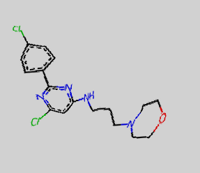 Clc1ccc(-c2nc(Cl)cc(NCCCN3CCOCC3)n2)cc1